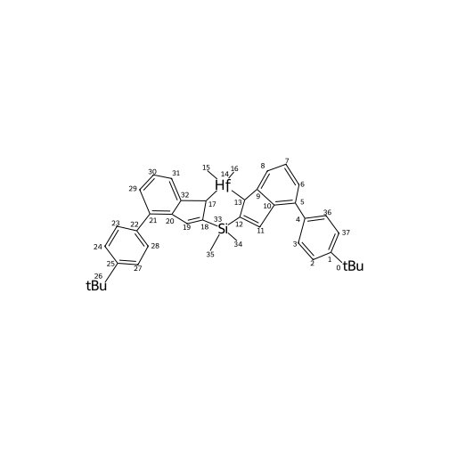 CC(C)(C)c1ccc(-c2cccc3c2C=C2[CH]3[Hf]([CH3])([CH3])[CH]3C(=Cc4c(-c5ccc(C(C)(C)C)cc5)cccc43)[Si]2(C)C)cc1